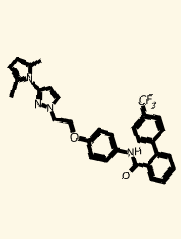 Cc1ccc(C)n1-c1ccn(CCOc2ccc(NC(=O)c3ccccc3-c3ccc(C(F)(F)F)cc3)cc2)n1